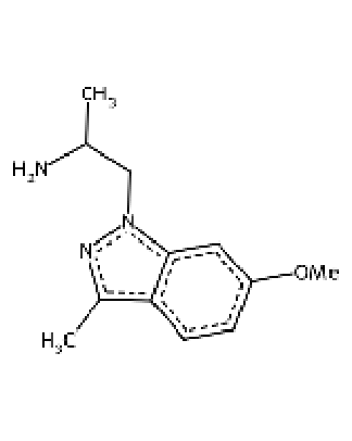 COc1ccc2c(C)nn(CC(C)N)c2c1